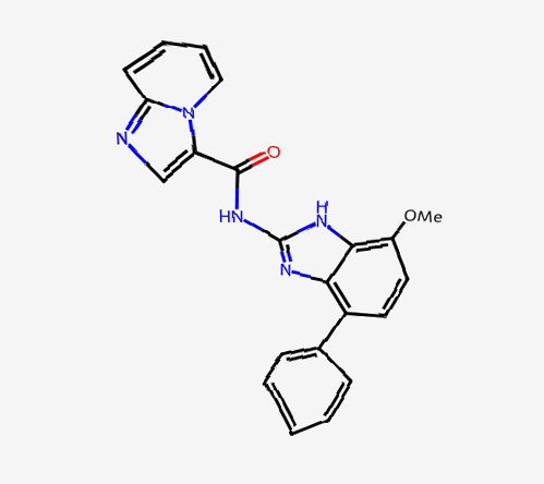 COc1ccc(-c2ccccc2)c2nc(NC(=O)c3cnc4ccccn34)[nH]c12